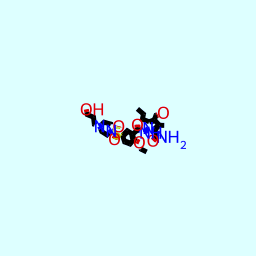 CCCc1c(C=O)c(C)c(C(N)=O)n1NC(=O)c1cc(S(=O)(=O)N2CCN(CCCO)CC2)ccc1OCC